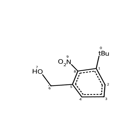 CC(C)(C)c1cccc([CH]O)c1[N+](=O)[O-]